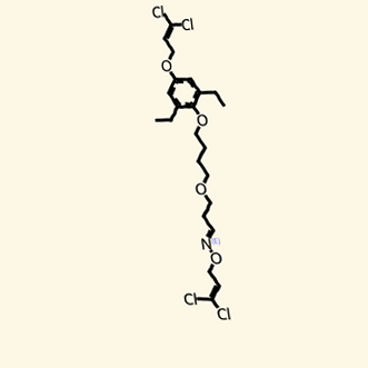 CCc1cc(OCC=C(Cl)Cl)cc(CC)c1OCCCCOCC/C=N/OCC=C(Cl)Cl